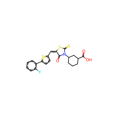 O=C(O)C1CCCC(N2C(=O)/C(=C\c3ccc(-c4ccccc4F)s3)SC2=S)C1